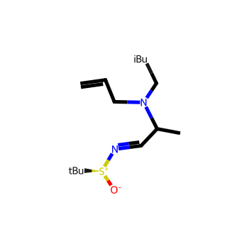 C=CCN(CC(C)CC)C(C)/C=N/[S@@+]([O-])C(C)(C)C